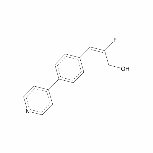 OC/C(F)=C\c1ccc(-c2ccncc2)cc1